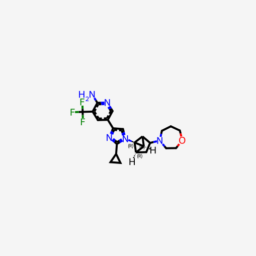 Nc1ncc(-c2cn([C@]34C5C(N6CCCOCC6)C[C@@H]3[C@H]54)c(C3CC3)n2)cc1C(F)(F)F